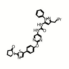 CC(C)Cc1cc(NC(=O)Nc2cnc(Oc3ccc(-c4cnc(N5CCCC5=O)s4)cc3)nc2)n(-c2ccccc2)n1